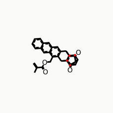 C=C(C)C(=O)OCc1c2c(cc3cc4ccccc4cc13)C1c3ccccc3C2C2C(=O)CC(=O)C12